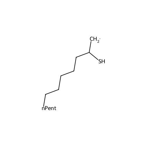 [CH2]C(S)CCCCCCCCCC